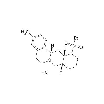 CCS(=O)(=O)N1CCC[C@@H]2CN3CCc4cc(C)ccc4[C@@H]3C[C@@H]21.Cl